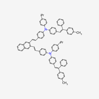 Cc1ccc(/C(=C/c2ccc(N(c3ccc(/C=C/c4cc5ccccc5cc4/C=C/c4ccc(N(c5ccc(/C=C(\c6ccccc6)c6ccc(C)cc6)cc5)c5ccc(C(C)C)cc5)cc4)cc3)c3ccc(C(C)C)cc3)cc2)c2ccccc2)cc1